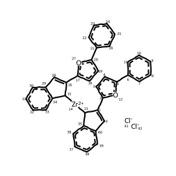 C1=C(c2ccc(-c3ccccc3)o2)[CH]([Zr+2][CH]2C(c3ccc(-c4ccccc4)o3)=Cc3ccccc32)c2ccccc21.[Cl-].[Cl-]